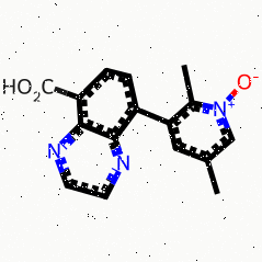 Cc1cc(-c2ccc(C(=O)O)c3nccnc23)c(C)[n+]([O-])c1